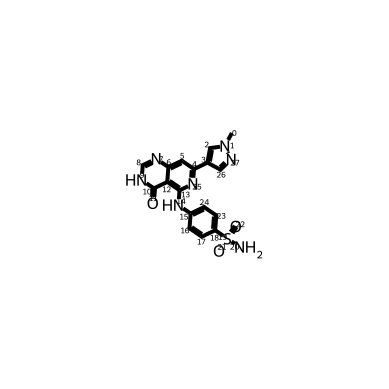 Cn1cc(-c2cc3nc[nH]c(=O)c3c(Nc3ccc(S(N)(=O)=O)cc3)n2)cn1